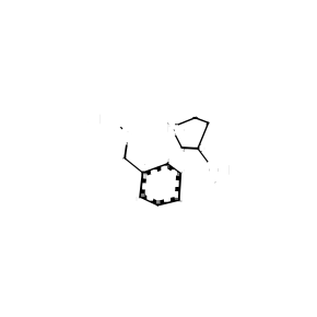 O=COCc1ccccc1.OC1CCNC1